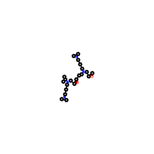 c1cc(-c2cccc3oc4ccccc4c23)cc(N(c2ccc(-c3ccc(-c4ccc(-n5c6ccccc6c6ccccc65)cc4)cc3)cc2)c2ccc3cc(-c4ccc5c(c4)oc4cccc(-c6cccc(N(c7ccc(-c8ccc(-c9ccc(-n%10c%11ccccc%11c%11ccccc%11%10)cc9)cc8)cc7)c7cc8ccccc8c8ccccc78)c6)c45)ccc3c2)c1